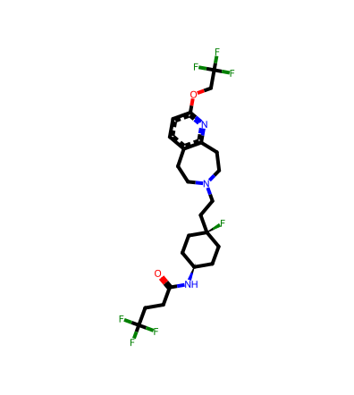 O=C(CCC(F)(F)F)N[C@H]1CC[C@](F)(CCN2CCc3ccc(OCC(F)(F)F)nc3CC2)CC1